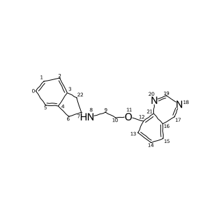 c1ccc2c(c1)CC(NCCOc1cccc3cncnc13)C2